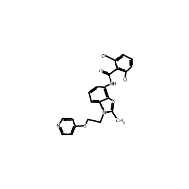 Cc1nc2c(NC(=O)c3c(Cl)cccc3Cl)cccc2n1CCSc1ccncc1